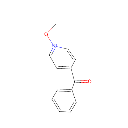 CO[n+]1ccc(C(=O)c2ccccc2)cc1